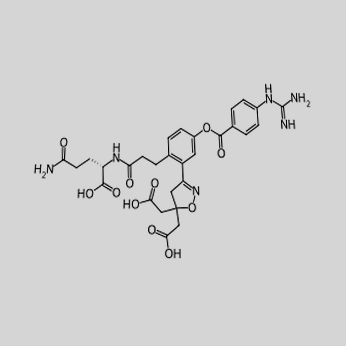 N=C(N)Nc1ccc(C(=O)Oc2ccc(CCC(=O)N[C@@H](CCC(N)=O)C(=O)O)c(C3=NOC(CC(=O)O)(CC(=O)O)C3)c2)cc1